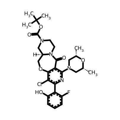 C[C@@H]1CN(c2nc(-c3c(O)cccc3F)c(Cl)c3c2C(=O)N2CCN(C(=O)OC(C)(C)C)C[C@@H]2CO3)C[C@H](C)O1